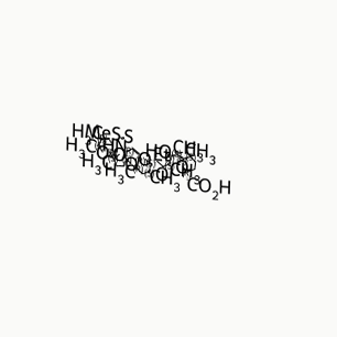 CCC(C(=O)[C@@H](C)[C@@H](O)[C@H](C)[C@@H]1O[C@@H](CC(=O)O)CC[C@@H]1C)[C@H]1O[C@]2(C=C[C@@H](NC(=S)SC)[C@]3(CC[C@@](C)([C@H]4CC[C@@H](C)[C@H](C)O4)O3)O2)[C@H](C)C[C@@H]1C